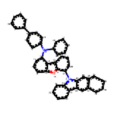 c1ccc(-c2ccc(N(c3ccccc3)c3cccc4oc5c(-n6c7ccccc7c7cc8ccccc8cc76)cccc5c34)cc2)cc1